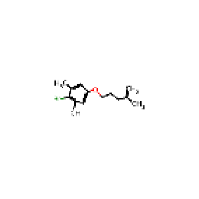 C=C(C)CCCOc1cc(C)c(Br)c(C)c1